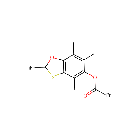 Cc1c(C)c2c(c(C)c1OC(=O)C(C)C)SC(C(C)C)O2